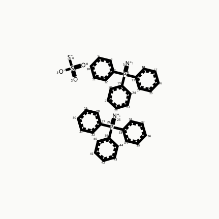 O=S(=O)([O-])[S-].[N+]=P(c1ccccc1)(c1ccccc1)c1ccccc1.[N+]=P(c1ccccc1)(c1ccccc1)c1ccccc1